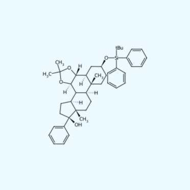 CC1(C)O[C@H]2[C@H](O1)C1[C@H](CC[C@@]3(C)[C@H]1CC[C@@]3(O)c1ccccc1)[C@@]1(C)CC[C@H](O[Si](c3ccccc3)(c3ccccc3)C(C)(C)C)C[C@H]21